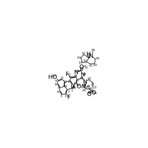 C#Cc1c(F)ccc2cc(O)cc(-c3nc(OC)c4c(N5CCCS(=O)(=O)CC5)nc(OC[C@]56CCC[C@H]5N(C)CCC6)nc4c3F)c12